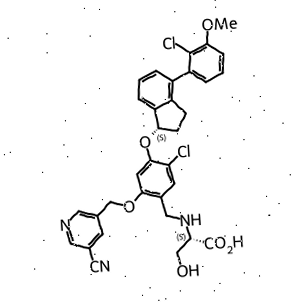 COc1cccc(-c2cccc3c2CC[C@@H]3Oc2cc(OCc3cncc(C#N)c3)c(CN[C@@H](CO)C(=O)O)cc2Cl)c1Cl